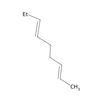 [CH2]CC=CCCC=CC